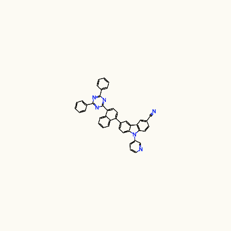 N#Cc1ccc2c(c1)c1cc(-c3ccc(-c4nc(-c5ccccc5)nc(-c5ccccc5)n4)c4ccccc34)ccc1n2-c1cccnc1